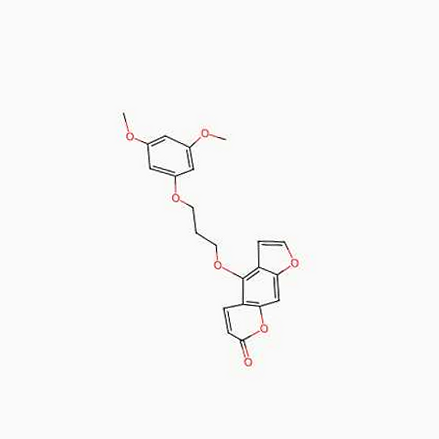 COc1cc(OC)cc(OCCCOc2c3ccoc3cc3oc(=O)ccc23)c1